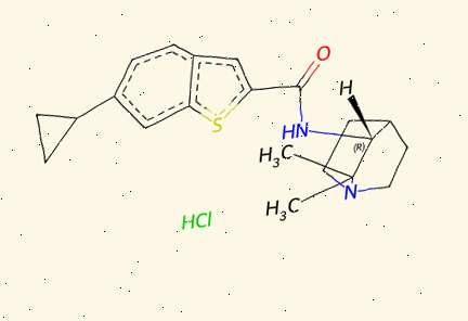 CC1(C)[C@H](NC(=O)c2cc3ccc(C4CC4)cc3s2)C2CCN1CC2.Cl